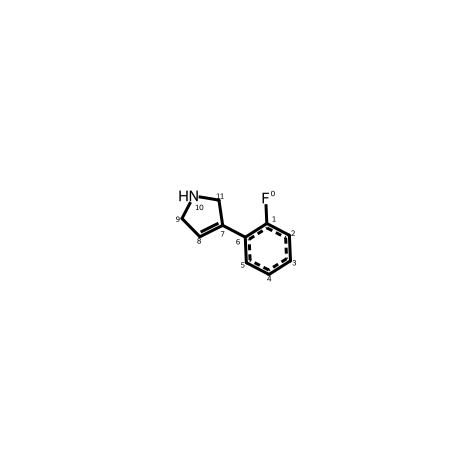 Fc1ccccc1C1=CCNC1